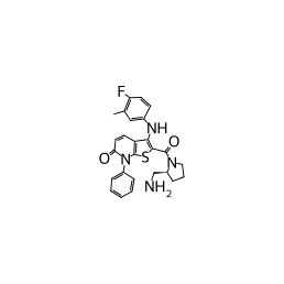 Cc1cc(Nc2c(C(=O)N3CCC[C@H]3CN)sc3c2ccc(=O)n3-c2ccccc2)ccc1F